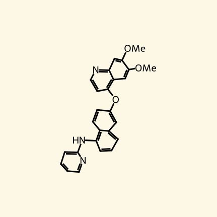 COc1cc2nccc(Oc3ccc4c(Nc5ccccn5)cccc4c3)c2cc1OC